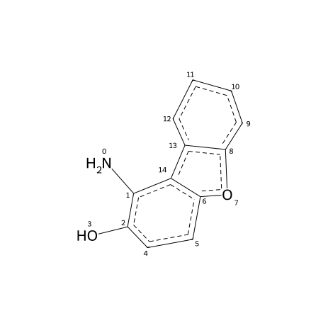 Nc1c(O)ccc2oc3ccccc3c12